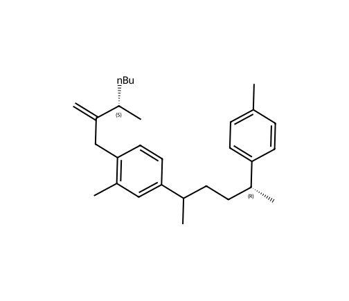 C=C(Cc1ccc(C(C)CC[C@@H](C)c2ccc(C)cc2)cc1C)[C@@H](C)CCCC